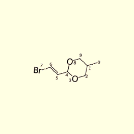 CC1COC(/C=C/Br)OC1